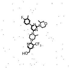 Cc1cc(-c2cc(N3CCN(c4ncc(CO)cc4C(F)(F)F)CC3C)nc(N3CCOCC3C)n2)ccc1F